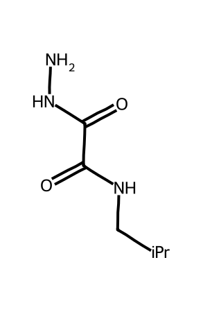 CC(C)CNC(=O)C(=O)NN